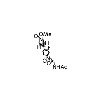 COC(=O)N1C[C@@H]2[C@H](C1)[C@H]2c1ccc(N2C[C@H](CNC(C)=O)OC2=O)cc1F